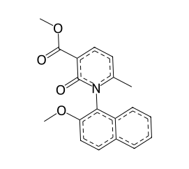 COC(=O)c1ccc(C)n(-c2c(OC)ccc3ccccc23)c1=O